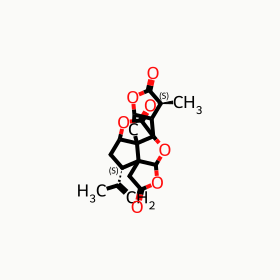 C=C(C)[C@@H]1CC2OC(=O)C34OC5OC(=O)CC51C23CC1OC(=O)[C@@H](C)C14